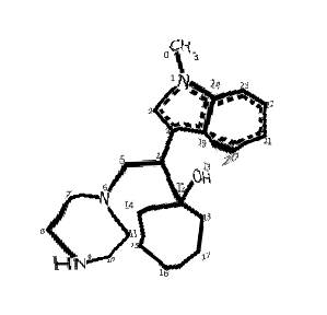 Cn1cc(C(CN2CCNCC2)C2(O)CCCCC2)c2ccccc21